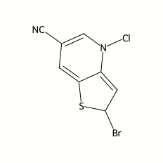 N#CC1=CN(Cl)C2=CC(Br)SC2=C1